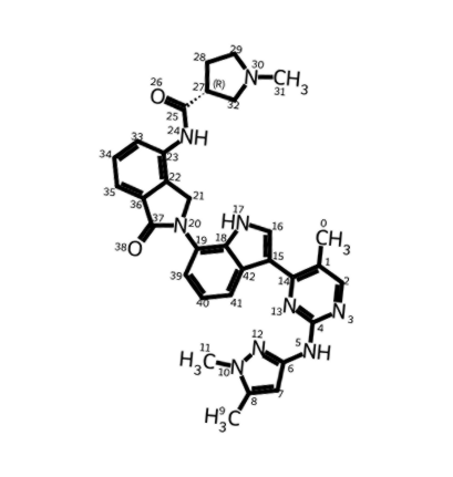 Cc1cnc(Nc2cc(C)n(C)n2)nc1-c1c[nH]c2c(N3Cc4c(NC(=O)[C@@H]5CCN(C)C5)cccc4C3=O)cccc12